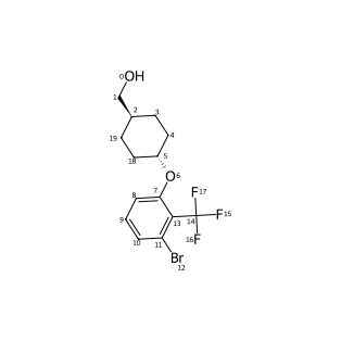 OC[C@H]1CC[C@H](Oc2cccc(Br)c2C(F)(F)F)CC1